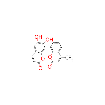 O=c1cc(C(F)(F)F)c2ccccc2o1.O=c1ccc2cc(O)c(O)cc2o1